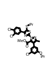 COC(=O)c1c(-c2cc(Cl)cc(OC(C)C)c2)c(C)nn1-c1nc(-c2ccc(Cl)c(Cl)c2)c(SC(C)C)s1